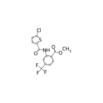 COC(=O)c1ccc(C(F)(F)F)cc1NC(=O)c1ccc(Cl)s1